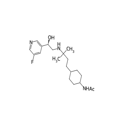 CC(=O)NC1CCC(CCC(C)(C)NC[C@H](O)c2cncc(F)c2)CC1